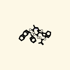 C=C(C)C(=O)OC1(CCC(=C)C(=O)OC2(C)CC3C=CC2C3)CC2CCC1(COC/C=C(/C)C(=O)OC1(C)CC3CC1C1C4CCC(C4)C31)C2